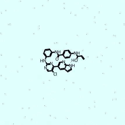 C=CC(O)Nc1ccc(C(=O)Nc2cccc(Nc3ncc(Cl)c(-c4cnc5[nH]ccc5c4)n3)c2)cc1